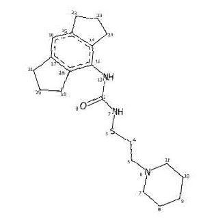 O=C(NSCCN1CCCCC1)Nc1c2c(cc3c1CCC3)CCC2